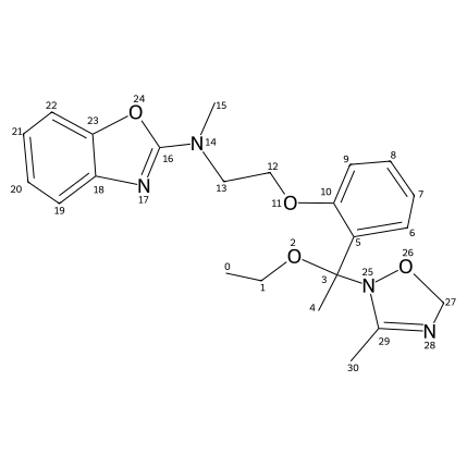 CCOC(C)(c1ccccc1OCCN(C)c1nc2ccccc2o1)N1OCN=C1C